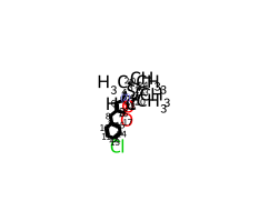 CC(C)[Si](/C=C1/C=C(Cc2ccc(Cl)cc2)C(=O)O1)(C(C)C)C(C)C